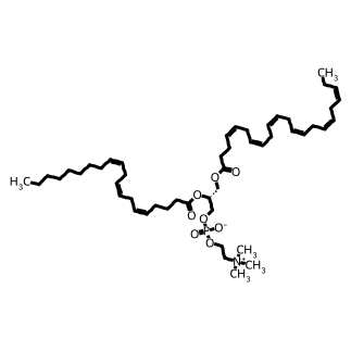 CC/C=C\C/C=C\C/C=C\C/C=C\C/C=C\C/C=C\CCC(=O)OC[C@H](COP(=O)([O-])OCC[N+](C)(C)C)OC(=O)CCC/C=C\C/C=C\C/C=C\CCCCCCCC